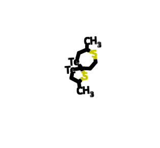 CC1C[Te]C2(CCS1)SC(C)C[Te]2